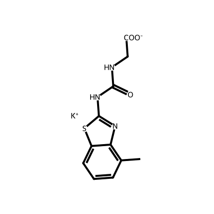 Cc1cccc2sc(NC(=O)NCC(=O)[O-])nc12.[K+]